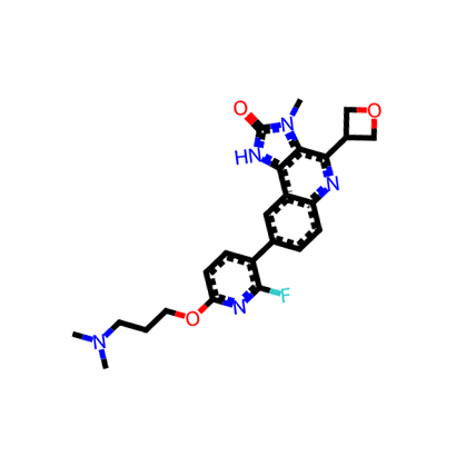 CN(C)CCCOc1ccc(-c2ccc3nc(C4COC4)c4c([nH]c(=O)n4C)c3c2)c(F)n1